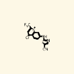 Cn1c(C(F)(F)F)cc(=O)c2ccc(Nc3ncc(C#N)s3)cc21